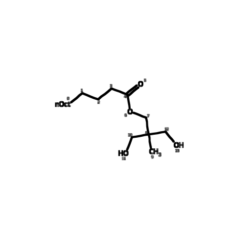 CCCCCCCCCCCC(=O)OCC(C)(CO)CO